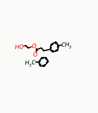 Cc1ccc(CCC(=O)OCCO)cc1.Cc1ccccc1